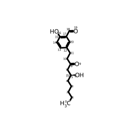 CCCCC[C@H](O)CC(=O)CCc1ccc(O)c(C=O)c1